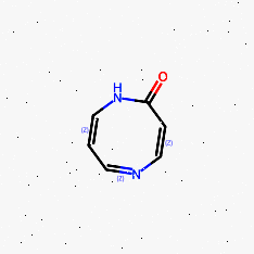 O=C1\C=C/N=C\C=C/N1